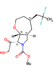 CC(F)(F)C[C@@H]1CCO[C@@H]2[C@@H](C1)CN(C(=O)OC(C)(C)C)[C@@H]2C(=O)CO